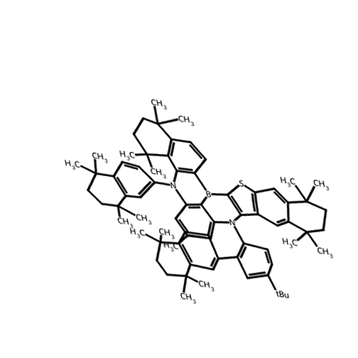 Cc1cc2c3c(c1)N(c1ccc(C(C)(C)C)cc1-c1ccc4c(c1)C(C)(C)CCC4(C)C)c1c(sc4cc5c(cc14)C(C)(C)CCC5(C)C)B3c1ccc3c(c1N2c1ccc2c(c1)C(C)(C)CCC2(C)C)C(C)(C)CCC3(C)C